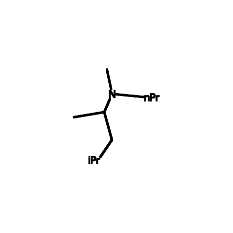 CCCN(C)C(C)CC(C)C